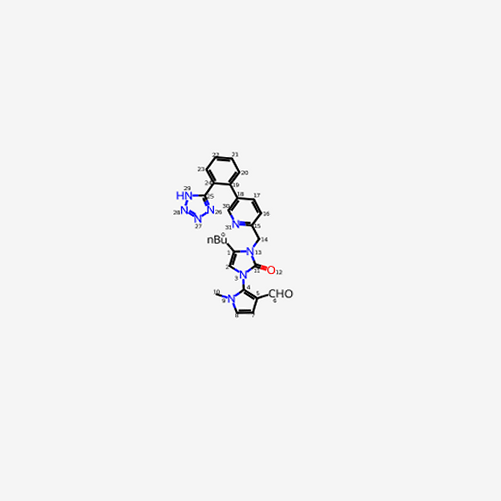 CCCCc1cn(-c2c(C=O)ccn2C)c(=O)n1Cc1ccc(-c2ccccc2-c2nnn[nH]2)cn1